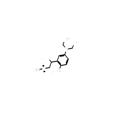 CCN(CC)c1ccc(N)c(C(C)CS([NH])(=O)=O)c1